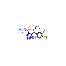 N#CCC(c1ccc(Cl)c(Cl)c1)c1[nH]ncc1C(N)=O